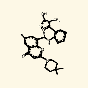 Cc1cc([C@@H](C)Nc2ccccc2-c2onc(O)c2C(F)(F)F)c2oc(N3CCC(C)(C)CC3)cc(=O)c2c1